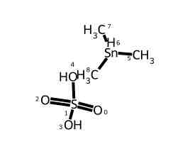 O=S(=O)(O)O.[CH3][SnH]([CH3])[CH3]